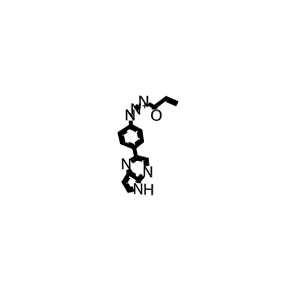 C=CC(=O)N=[N+]=Nc1ccc(-c2cnc3[nH]ccc3n2)cc1